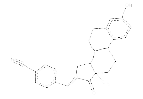 CC12CCC3c4ccc(O)cc4CCC3C1CC(=Cc1ccc(C#N)cc1)C2=O